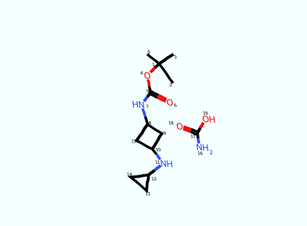 CC(C)(C)OC(=O)NC1CC(NC2CC2)C1.NC(=O)O